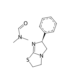 CN(C)C=O.c1ccc([C@H]2CN3CCSC3=N2)cc1